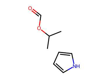 CC(C)OC=O.c1cc[nH]c1